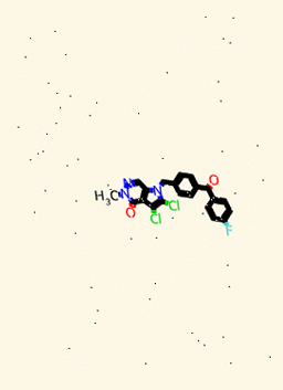 Cn1ncc2c(c(Cl)c(Cl)n2Cc2ccc(C(=O)c3ccc(F)cc3)cc2)c1=O